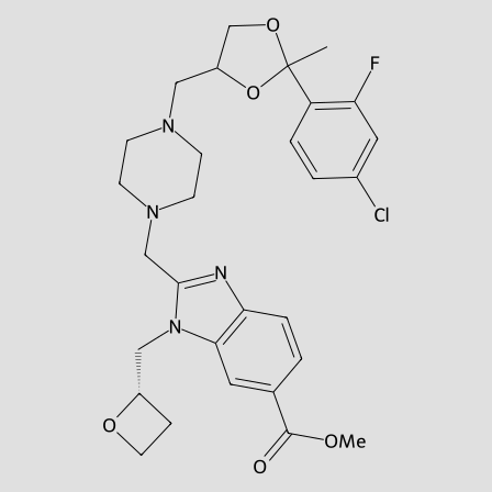 COC(=O)c1ccc2nc(CN3CCN(CC4COC(C)(c5ccc(Cl)cc5F)O4)CC3)n(C[C@@H]3CCO3)c2c1